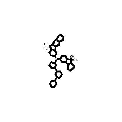 CC1(C)c2ccccc2-c2cc(N(c3cccc(-c4cccc(-c5ccccc5)c4)c3)c3ccc4c(c3)-c3cc5ccccc5cc3C4(C)C)ccc21